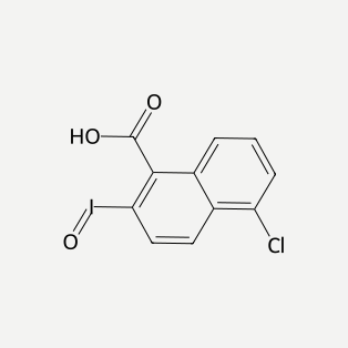 O=Ic1ccc2c(Cl)cccc2c1C(=O)O